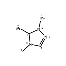 CC(C)C1N(C)C=NN1C(C)C